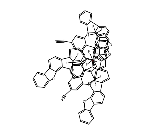 N#Cc1cc(-n2c3ccccc3c3ccc4c5ccccc5oc4c32)c(-c2c(C(F)(F)F)cccc2C(F)(F)F)c(-n2c3cc(-c4ccc5c(c4)oc4ccc6c7ccccc7n(-c7cc(C#N)cc(-n8c9ccccc9c9ccc%10oc%11ccccc%11c%10c98)c7-c7c(C(F)(F)F)cccc7C(F)(F)F)c6c45)ccc3c3ccc4c5ccccc5oc4c32)c1